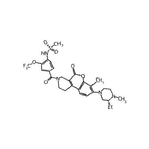 CC[C@H]1CN(c2ccc3c4c(c(=O)oc3c2C)CN(C(=O)c2ccc(NS(C)(=O)=O)c(OC(F)(F)F)c2)CC4)CCN1C